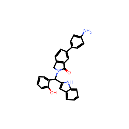 Nc1ccc(-c2ccc3c(c2)C(=O)N(C(c2cc4ccccc4[nH]2)c2ccccc2O)C3)cc1